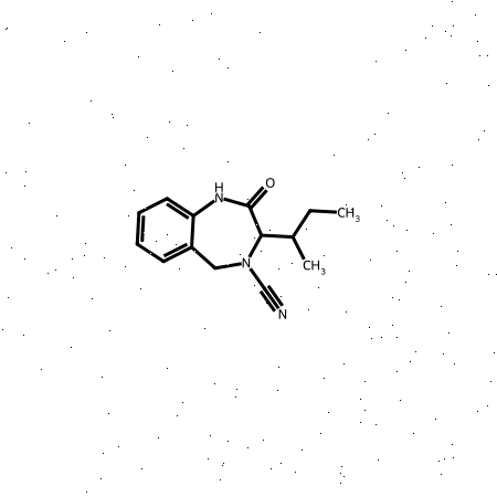 CCC(C)C1C(=O)Nc2ccccc2CN1C#N